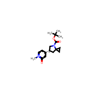 Cn1ccc([C@@H]2CN(C(=O)OC(C)(C)C)C3(CC3)C2)cc1=O